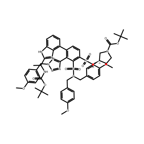 COc1ccc(CN(Cc2ccc(OC)cc2)S(=O)(=O)c2c(S(=O)(=O)N[C@@H]3CCN(C(=O)OC(C)(C)C)C3)ccc(-c3cccc4[nH]c(C(C)NC(=O)OC(C)(C)C)nc34)c2-c2nnn(Cc3ccc(OC)cc3)n2)cc1